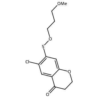 COCCCOSc1cc2c(cc1Cl)C(=O)CCO2